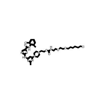 Cc1nc(Nc2ncc(C(=O)Nc3c(C)cccc3Cl)s2)cc(N2CCN(CCOC(=O)NCCOCCOCCCCCCCl)CC2)n1